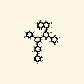 c1ccc(-c2ccc(-c3cc(-c4cc(-c5ccncc5)cc(-c5cccc6cccnc56)c4)nc(-c4ccccc4)n3)cc2)cc1